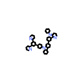 c1ccc(-n2c3ccc(-c4ccc5c6ccccc6n(-c6ccc(-c7cc(-c8ccccn8)cc(-c8ccccn8)c7)cc6)c5c4)cc3c3ncccc32)cc1